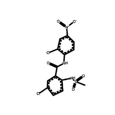 CS(=O)(=O)Nc1ccc(Cl)cc1C(=O)Nc1ccc([N+](=O)[O-])cc1Cl